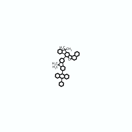 CC1(C)c2ccc(-c3c4c(cc5c3oc3ccc6ccccc6c35)C(C)(C)c3ccccc3-4)cc2-c2ccc(-c3c4ccccc4c(-c4ccccc4)c4ccccc34)cc21